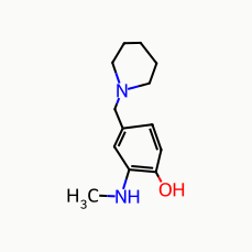 CNc1cc(CN2CCCCC2)ccc1O